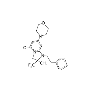 CC1(C(F)(F)F)Cn2c(nc(N3CCOCC3)cc2=O)N1CCc1ccccc1